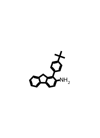 CC(C)(C)c1ccc(-c2c(N)ccc3c2Cc2ccccc2-3)cc1